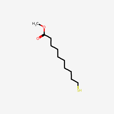 COC(=O)CCCCCCCCCS